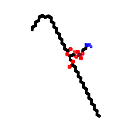 CCCCC/C=C\C/C=C\CCCCCCCCCCCC(=O)O[C@H](COC(=O)CCCCCCCCCCCCCCCCCCC)COP(=O)(O)OCCN